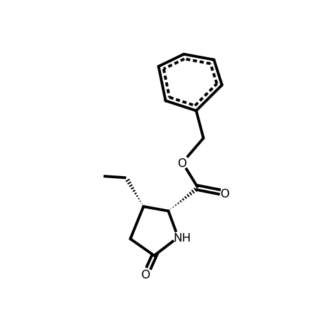 CC[C@H]1CC(=O)N[C@H]1C(=O)OCc1ccccc1